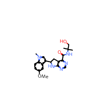 COc1ccc2c(c1)c(C1Cc3c(ncnc3C(=O)NC(C)(C)CO)N1)cn2C